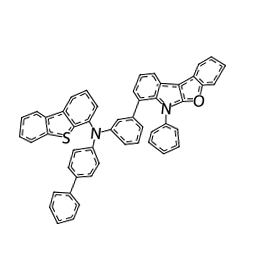 c1ccc(-c2ccc(N(c3cccc(-c4cccc5c6c7ccccc7oc6n(-c6ccccc6)c45)c3)c3cccc4c3sc3ccccc34)cc2)cc1